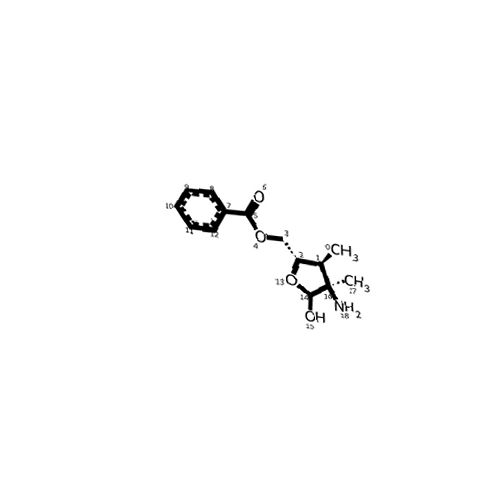 C[C@@H]1[C@@H](COC(=O)c2ccccc2)OC(O)[C@]1(C)N